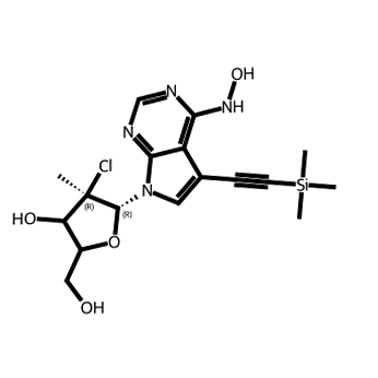 C[C@@]1(Cl)C(O)C(CO)O[C@H]1n1cc(C#C[Si](C)(C)C)c2c(NO)ncnc21